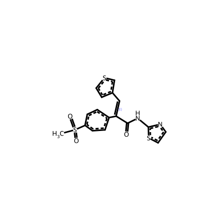 CS(=O)(=O)c1ccc(/C(=C\c2ccsc2)C(=O)Nc2nccs2)cc1